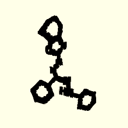 c1ccc(NN=C(N=Nc2nc3ccccc3o2)c2ccccc2)cc1